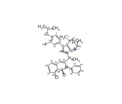 C=C(C)c1c(-c2ccc(OC(C)C)c(F)c2)nn(C(C)c2cc3cccc(Cl)c3c(=O)n2-c2ccccc2)c1/N=C\C